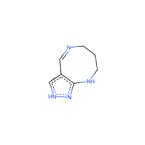 C1=N\CCCNc2n[nH]cc2/1